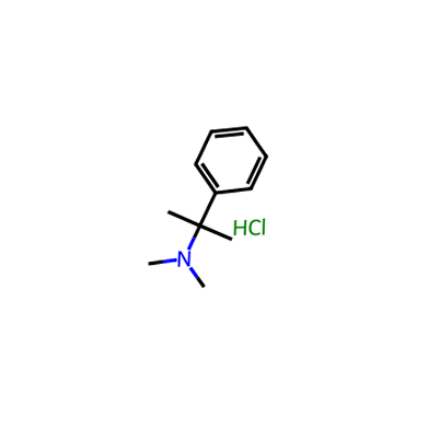 CN(C)C(C)(C)c1ccccc1.Cl